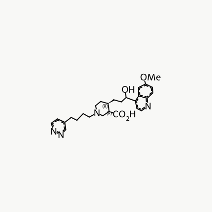 COc1ccc2nccc(C(O)CC[C@@H]3CCN(CCCCc4ccnnc4)C[C@@H]3C(=O)O)c2c1